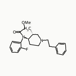 COCC(=O)N(c1ccccc1F)[C@@H]1CCN(CCc2ccccc2)C[C@H]1C